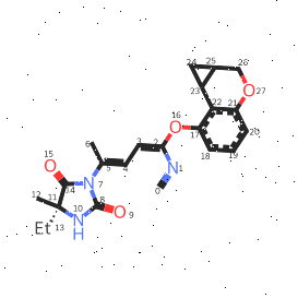 C=N/C(=C\C=C(/C)N1C(=O)N[C@](C)(CC)C1=O)Oc1cccc2c1C1CC1CO2